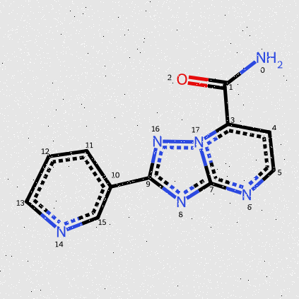 NC(=O)c1ccnc2nc(-c3cccnc3)nn12